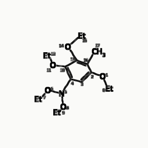 CCOc1cc(N(OCC)OCC)c(OCC)c(OCC)c1C